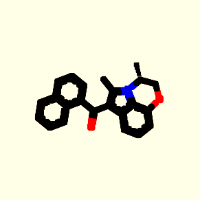 Cc1c(C(=O)c2cccc3ccccc23)c2cccc3c2n1[C@H](C)CO3